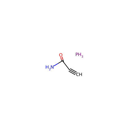 C#CC(N)=O.P